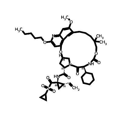 C=C[C@@H]1C[C@]1(NC(=O)[C@@H]1C[C@@H]2CN1C(=O)[C@H](C1CCCCC1)NC(=O)OCC(C)(C)CCCc1cc3c(cc(OCCCCC)nc3cc1OC)O2)C(=O)S(=O)(=O)C1CC1